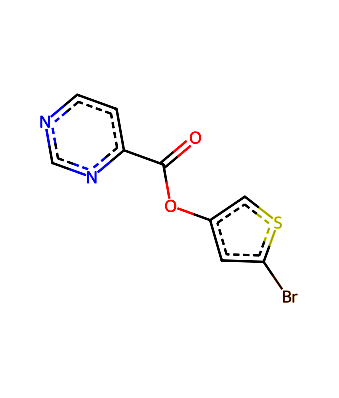 O=C(Oc1csc(Br)c1)c1ccncn1